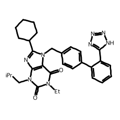 CCn1c(=O)c2c(nc(C3CCCCC3)n2Cc2ccc(-c3ccccc3-c3nnn[nH]3)cc2)n(CC(C)C)c1=O